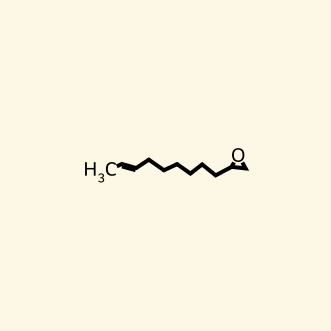 C/C=C/CCCCCCC1CO1